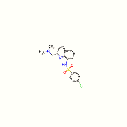 CN(C)Cc1ccc2cccc(NS(=O)(=O)c3ccc(Cl)cc3)c2n1